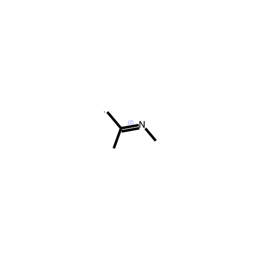 [CH2]/C(C)=N/C